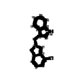 ClC1=CC=CC2CN(Cc3c[nH]c4ccccc34)C=C12